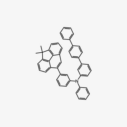 CC1(C)c2cccc3cc(-c4cccc(N(c5ccccc5)c5cccc(-c6ccc(-c7ccccc7)cc6)c5)c4)c4cccc1c4c23